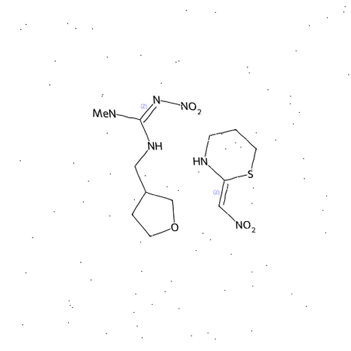 CN/C(=N/[N+](=O)[O-])NCC1CCOC1.O=[N+]([O-])/C=C1/NCCCS1